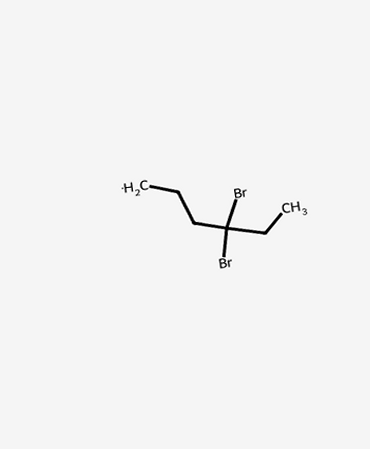 [CH2]CCC(Br)(Br)CC